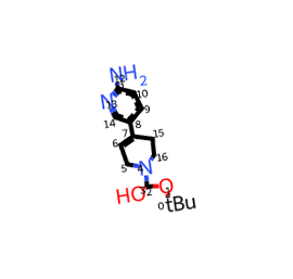 CC(C)(C)OC(O)N1CC=C(c2ccc(N)nc2)CC1